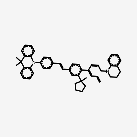 C=C/C=C(\C=C/CN1CCCc2ccccc21)c1ccc(/C=C/c2ccc(N3c4ccccc4C(C)(C)c4ccccc43)cc2)cc1C1(C)CCCC1